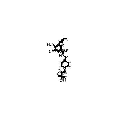 CCc1cn2c(N)c(Cl)cc(C(=O)NCC3CCN(CC(=O)C(C)(C)O)CC3)c2n1